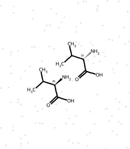 CC(C)[C@@H](N)C(=O)O.CC(C)[C@H](N)C(=O)O